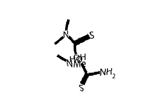 CN(C)C(O)=S.CNC.NC(O)=S